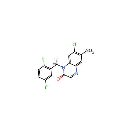 C[C@@H](c1cc(Cl)ccc1F)n1c(=O)cnc2cc([N+](=O)[O-])c(Cl)cc21